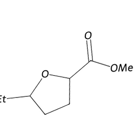 CCC1CCC(C(=O)OC)O1